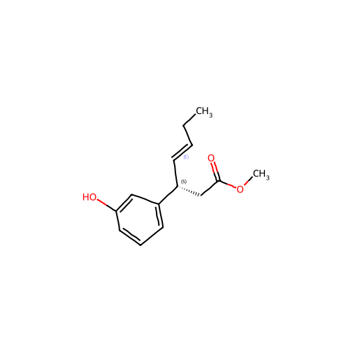 CC/C=C/[C@H](CC(=O)OC)c1cccc(O)c1